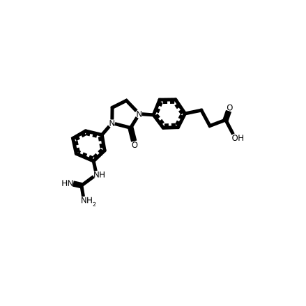 N=C(N)Nc1cccc(N2CCN(c3ccc(CCC(=O)O)cc3)C2=O)c1